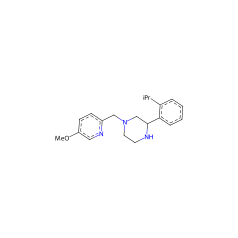 COc1ccc(CN2CCNC(c3ccccc3C(C)C)C2)nc1